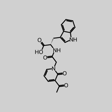 CC(=O)c1cccn(CC(=O)N[C@@H](Cc2c[nH]c3ccccc23)C(=O)O)c1=O